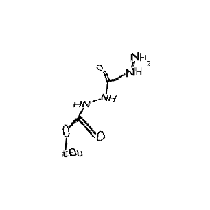 CC(C)(C)OC(=O)NNC(=O)NN